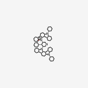 N#Cc1ccccc1-c1c(-n2c3ccccc3c3ccc4c(c5ccccc5n4-c4ccccc4)c32)cncc1-n1c2ccccc2c2ccc3c(c4ccccc4n3-c3ccccc3)c21